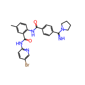 Cc1ccc(NC(=O)c2ccc(C(=N)N3CCCC3)cc2)c(C(=O)Nc2ccc(Br)cn2)c1